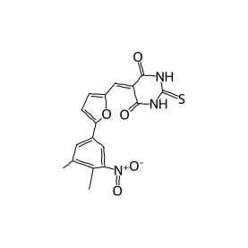 Cc1cc(-c2ccc(C=C3C(=O)NC(=S)NC3=O)o2)cc([N+](=O)[O-])c1C